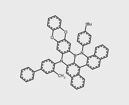 Cc1cc(-c2ccccc2)ccc1N1c2cc3c(cc2B2c4c1cc1ccccc1c4-c1ccc4ccccc4c1N2c1ccc(C(C)(C)C)cc1)Oc1ccccc1O3